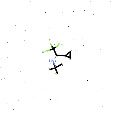 CC(C)(C)N[C@@H](C1CC1)C(F)(F)F